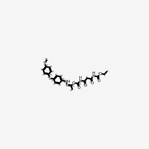 CCOC(=O)NC(=O)CC(=O)NC(=O)OC(C)=NNc1ccc(Sc2ccc(SC)cc2)cc1